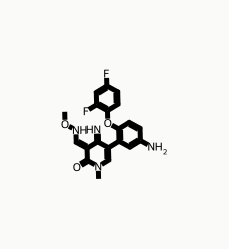 CON/C=C1\C(=N)C(c2cc(N)ccc2Oc2ccc(F)cc2F)=CN(C)C1=O